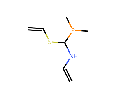 C=CNC(SC=C)P(C)C